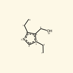 CCc1ncn(CC)c1CO